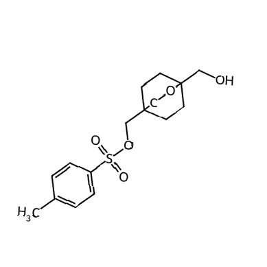 Cc1ccc(S(=O)(=O)OCC23CCC(CO)(CC2)OC3)cc1